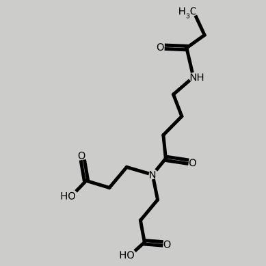 CCC(=O)NCCCC(=O)N(CCC(=O)O)CCC(=O)O